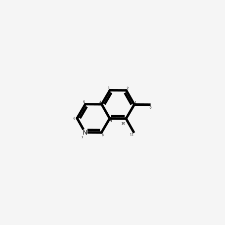 Cc1ccc2ccncc2c1C